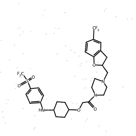 O=C(COC1CCC(Nc2ccc(S(=O)(=O)C(F)(F)F)cc2)CC1)N1CCN(CC2Cc3cc(C(F)(F)F)ccc3O2)CC1